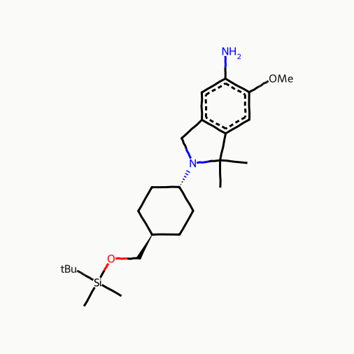 COc1cc2c(cc1N)CN([C@H]1CC[C@H](CO[Si](C)(C)C(C)(C)C)CC1)C2(C)C